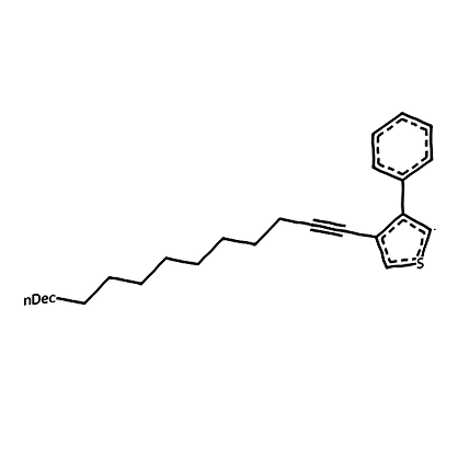 CCCCCCCCCCCCCCCCCCC#Cc1cs[c]c1-c1ccccc1